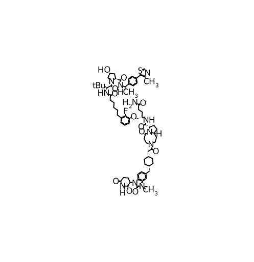 Cc1ncsc1-c1ccc([C@H](C)NC(=O)[C@@H]2C[C@@H](O)CN2C(=O)[C@@H](NC(=O)CCCCCc2cccc(OC[C@H](CCC(N)=O)NC(=O)[C@@H]3CC[C@@H]4CCN(C(=O)C[C@H]5CC[C@@H](Cc6ccc7c(c6)n(C)c(=O)n7C6CCC(=O)NC6=O)CC5)CCC(=O)N43)c2F)C(C)(C)C)cc1